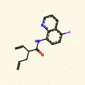 C=CCC(C=C)C(=O)Nc1ccc(I)c2cccnc12